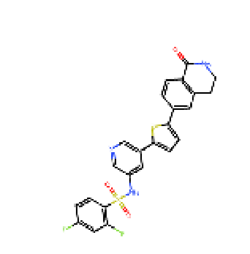 O=C1NCCc2cc(-c3ccc(-c4cncc(NS(=O)(=O)c5ccc(F)cc5F)c4)s3)ccc21